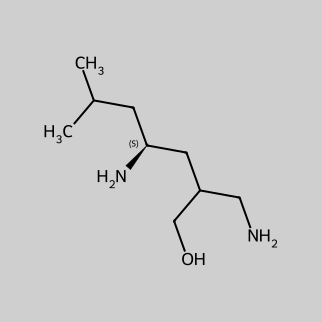 CC(C)C[C@H](N)CC(CN)CO